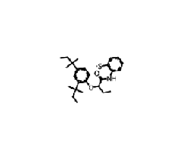 CCC(Oc1ccc(C(C)(C)CC)cc1C(C)(C)CC)C(=O)Nc1ccccc1[S]